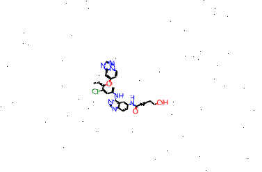 C=C(/C=C(Cl)\C(=C/C)Oc1ccn2ncnc2c1)Nc1ncnc2ccc(NC(=O)C#CCCO)cc12